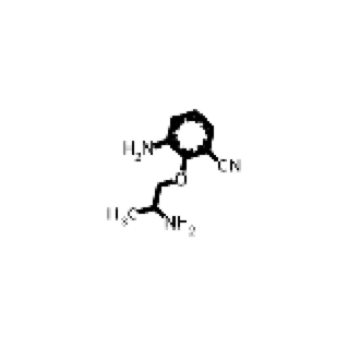 CC(N)COc1c(N)cccc1C#N